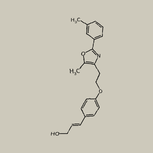 Cc1cccc(-c2nc(CCOc3ccc(C=CCO)cc3)c(C)o2)c1